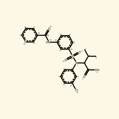 CC(C)C(C(=O)O)N(c1cccc(Cl)c1)S(=O)(=O)c1cccc(NC(=O)c2cccnc2)c1